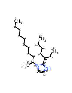 CCCCCCCCCC(C)[n+]1cc[nH]c1C(CC)CCCC